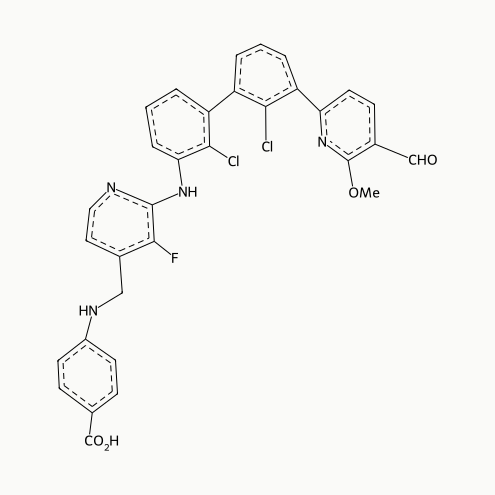 COc1nc(-c2cccc(-c3cccc(Nc4nccc(CNc5ccc(C(=O)O)cc5)c4F)c3Cl)c2Cl)ccc1C=O